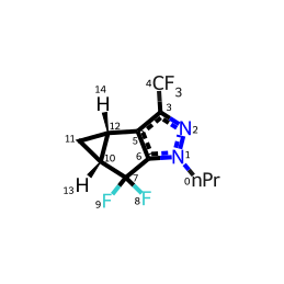 CCCn1nc(C(F)(F)F)c2c1C(F)(F)[C@@H]1C[C@H]21